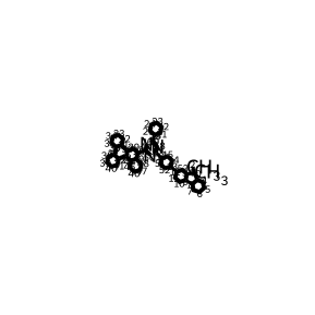 CC1(C)c2ccccc2-c2ccc(-c3ccc(-c4nc(-c5ccccc5)nc(-c5cc6c7ccccc7c7ccccc7c6c6ccccc56)n4)cc3)cc21